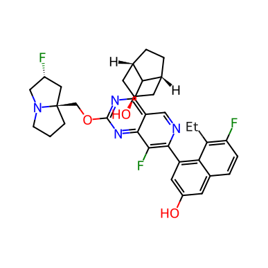 CCc1c(F)ccc2cc(O)cc(-c3ncc4c(C5[C@@H]6CC[C@H]5C[C@H](O)C6)nc(OC[C@@]56CCCN5C[C@H](F)C6)nc4c3F)c12